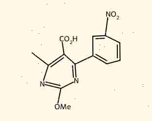 COc1nc(C)c(C(=O)O)c(-c2cccc([N+](=O)[O-])c2)n1